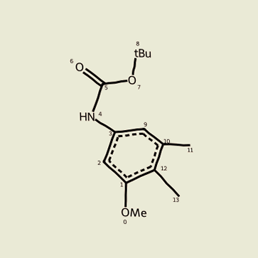 COc1cc(NC(=O)OC(C)(C)C)cc(C)c1C